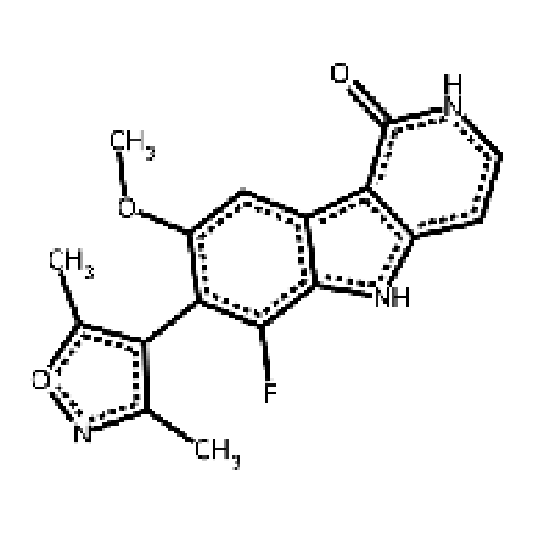 COc1cc2c([nH]c3cc[nH]c(=O)c32)c(F)c1-c1c(C)noc1C